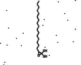 CCCCCCCCCCCCCCCCC1OC1(O)O